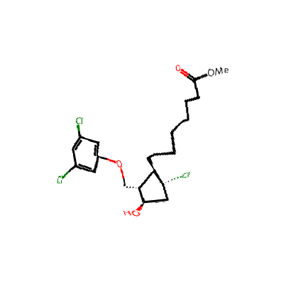 COC(=O)CCCCCC[C@@H]1[C@@H](COc2cc(Cl)cc(Cl)c2)[C@H](O)C[C@H]1Cl